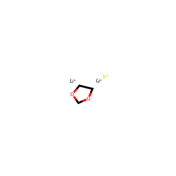 C1COCO1.[Li+].[Li+].[S-2]